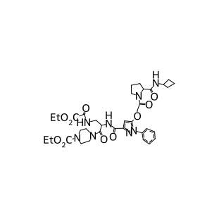 CCOC(=O)C(=O)NCC(NC(=O)c1cc(OCC(=O)N2CCCC2C(=O)NC2CCC2)n(-c2ccccc2)n1)C(=O)N1CCN(C(=O)OCC)CC1